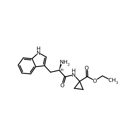 CCOC(=O)C1(NC(=O)[C@H](N)Cc2c[nH]c3ccccc23)CC1